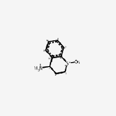 NC1CC[S+]([O-])c2ccccc21